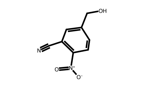 N#Cc1cc(CO)ccc1[N+](=O)[O-]